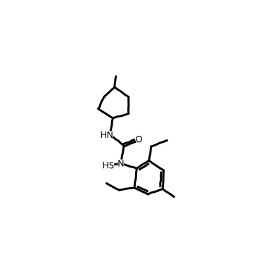 CCc1cc(C)cc(CC)c1N(S)C(=O)NC1CCC(C)CC1